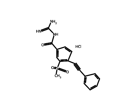 CS(=O)(=O)c1cc(C(=O)NC(=N)N)ccc1C#Cc1ccccc1.Cl